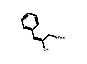 [CH]/C(=C/c1ccccc1)CCCCCC